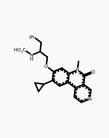 CC(C)CC(COc1cc2c(cc1C1CC1)c1ccncc1c(=O)n2C)NC(=O)O